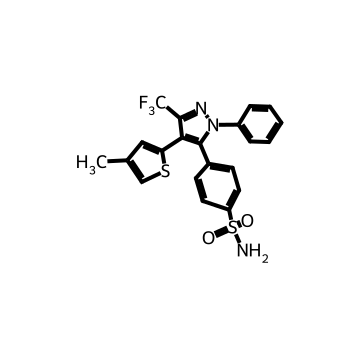 Cc1csc(-c2c(C(F)(F)F)nn(-c3ccccc3)c2-c2ccc(S(N)(=O)=O)cc2)c1